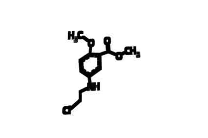 COC(=O)c1cc(NCCCl)ccc1OC